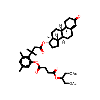 CC(=O)OCC(COC(C)=O)OC(=O)CCC(=O)Oc1cc(C)cc(C)c1C(C)(C)CC(=O)O[C@H]1CC[C@H]2[C@@H]3CCC4=CC(=O)CC[C@]4(C)[C@H]3CC[C@]12C